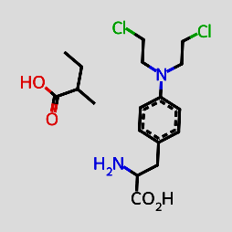 CCC(C)C(=O)O.NC(Cc1ccc(N(CCCl)CCCl)cc1)C(=O)O